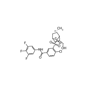 C[C@H]1CC2CC(CO)C1[C@@H]2S(=O)(=O)c1cc(C(=O)Nc2cc(F)c(F)c(F)c2)ccc1Cl